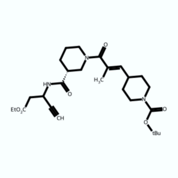 C#CC(CC(=O)OCC)NC(=O)[C@@H]1CCCN(C(=O)/C(C)=C/C2CCN(C(=O)OC(C)(C)C)CC2)C1